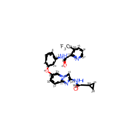 O=C(Nc1cccc(Oc2ccc3nc(NC(=O)C4CC4)cn3c2)c1)c1ncccc1C(F)(F)F